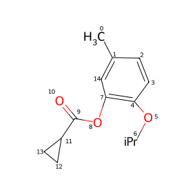 Cc1ccc(OC(C)C)c(OC(=O)C2CC2)c1